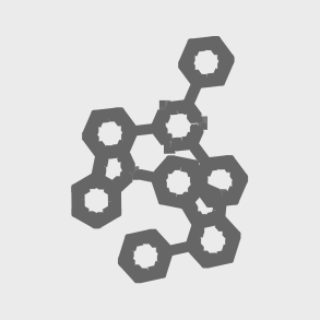 c1ccc(-c2nc(-c3ccccc3)nc(-c3cccc4c5ccccc5n(-c5ccc6oc7cccc(-c8ccccc8)c7c6c5)c34)n2)cc1